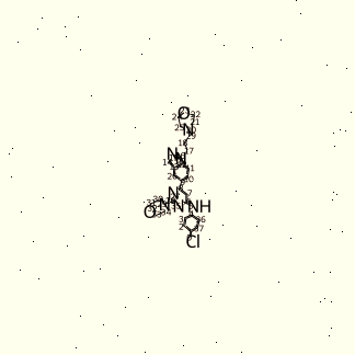 Clc1ccc(Nc2cc(-c3ccc4c(cnn4CCCN4CCOCC4)c3)nc(N3CCOCC3)n2)cc1